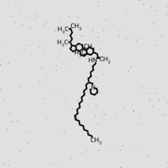 C=C(CC1CCC2(C)C(=CCC3C4CCC(C(C)CCCC(C)C)C4CCC32C)C1)NCCCCCCC(CCCCCCCCCC/C=C\CCCCCCCC)CN1CCCCC1